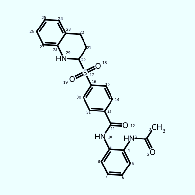 CC(=O)Nc1ccccc1NC(=O)c1ccc(S(=O)(=O)C2CCc3ccccc3N2)cc1